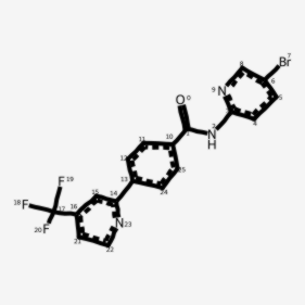 O=C(Nc1ccc(Br)cn1)c1ccc(-c2cc(C(F)(F)F)ccn2)cc1